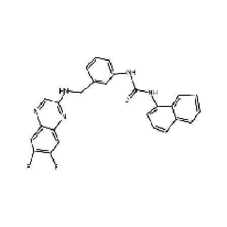 O=C(Nc1cccc(CNc2cnc3cc(F)c(F)cc3n2)c1)Nc1cccc2ccccc12